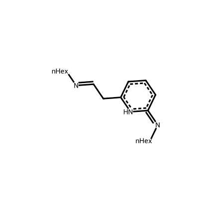 CCCCCCN=CCc1cccc(=NCCCCCC)[nH]1